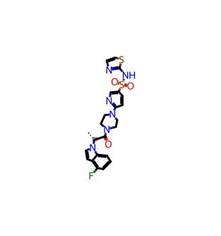 C[C@H](C(=O)N1CCN(c2ccc(S(=O)(=O)Nc3nccs3)cn2)CC1)n1ccc2c(F)cccc21